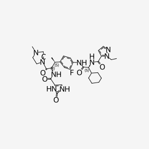 CCn1nccc1C(=O)N[C@H](C(=O)Nc1ccc([C@H](C)[C@@H](NC(=O)c2c[nH]c(=O)[nH]2)C(=O)N2CCN(C)CC2)cc1F)C1CCCCC1